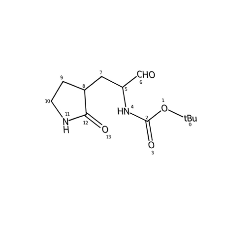 CC(C)(C)OC(=O)NC(C=O)CC1CCNC1=O